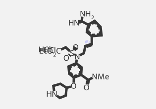 CCOC(=O)CS(=O)(=O)N(C/C=C/c1cccc(C(=N)N)c1)c1ccc(OC2CCNCC2)c(C(=O)NC)c1.Cl.Cl